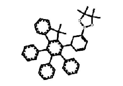 CC1(C)c2ccccc2-c2c(-c3ccccc3)c(-c3ccccc3)c(-c3ccccc3)c(C3C=CC=C(B4OC(C)(C)C(C)(C)O4)C3)c21